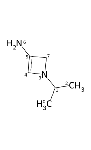 CC(C)N1C=C(N)C1